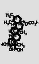 C[C@H]1[C@H](C)CC[C@]2(COC(=O)O)CC[C@]3(C)C(=CC[C@@H]4[C@@]5(C)C[C@@H](O)[C@H](O)C(C)(CO)C5CC[C@]43C)[C@H]12